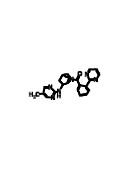 Cc1cnc(NC2CC3CC2N(C(=O)c2ccccc2-c2ncccn2)C3)nc1